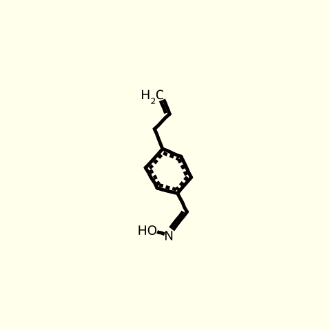 C=CCc1ccc(/C=N\O)cc1